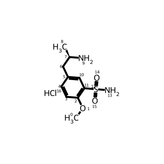 COc1ccc(C[C@@H](C)N)cc1S(N)(=O)=O.Cl